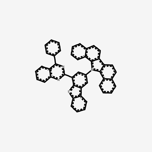 c1ccc(-c2nc(-c3cc(-n4c5c6ccccc6ccc5c5ccc6ccccc6c54)cc4c3sc3ccccc34)nc3ccccc23)cc1